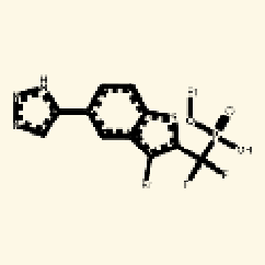 CCOP(=O)(O)C(F)(F)c1sc2ccc(-c3cnn[nH]3)cc2c1Br